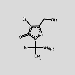 CCCCCCCC(C)(CC)n1nc(CO)n(CC)c1=O